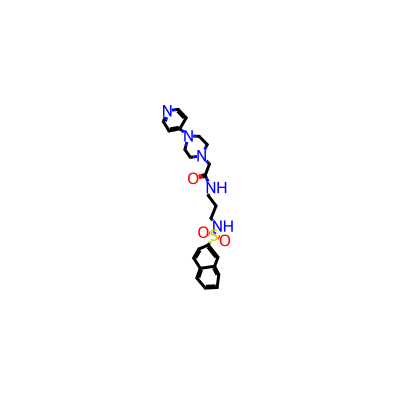 O=C(CN1CCN(c2ccncc2)CC1)NCCCNS(=O)(=O)c1ccc2ccccc2c1